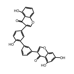 O=c1c(-c2ccc(O)c(-c3cccc(-c4coc5cc(O)cc(O)c5c4=O)c3)c2)coc2cccc(O)c12